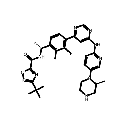 Cc1c([C@@H](C)NC(=O)c2nc(C(C)(C)C)no2)ccc(-c2cc(Nc3ccc(N4CCNC[C@@H]4C)cn3)ncn2)c1F